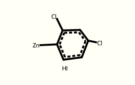 Clc1cc[c]([Zn])c(Cl)c1.I